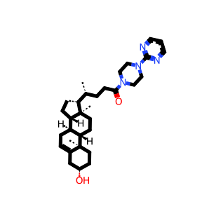 C[C@H](CCC(=O)N1CCN(c2ncccn2)CC1)[C@H]1CC[C@H]2[C@@H]3CC=C4C[C@@H](O)CC[C@]4(C)[C@H]3CC[C@]12C